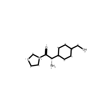 N[C@H](C(=O)N1CCSC1)C1CCC(CO)CC1